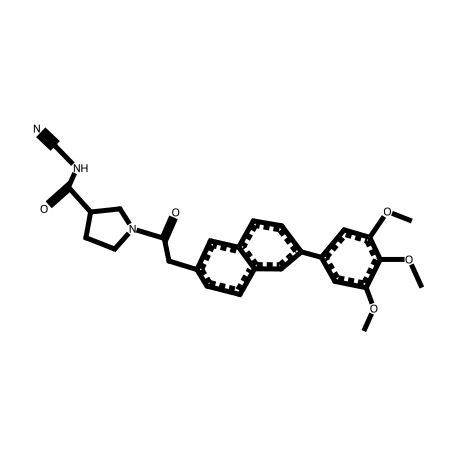 COc1cc(-c2ccc3cc(CC(=O)N4CCC(C(=O)NC#N)C4)ccc3c2)cc(OC)c1OC